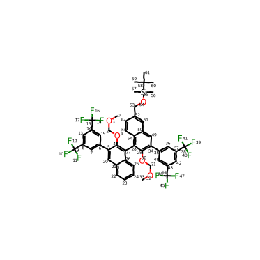 COCOc1c(-c2cc(C(F)(F)F)cc(C(F)(F)F)c2)cc2ccccc2c1-c1c(OCOC)c(-c2cc(C(F)(F)F)cc(C(F)(F)F)c2)cc2cc(CO[Si](C)(C)C(C)(C)C)ccc12